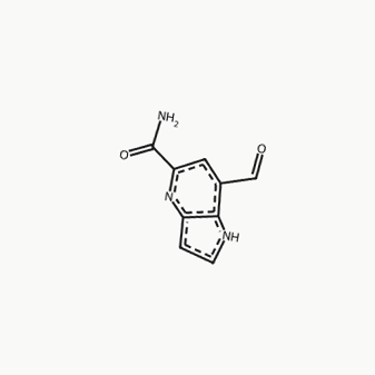 NC(=O)c1cc(C=O)c2[nH]ccc2n1